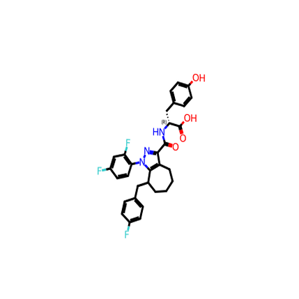 O=C(N[C@H](Cc1ccc(O)cc1)C(=O)O)c1nn(-c2ccc(F)cc2F)c2c1CCCCC2Cc1ccc(F)cc1